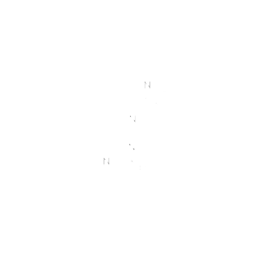 CN1CCCC1C(=O)N1CCN(Cc2nccs2)CC1